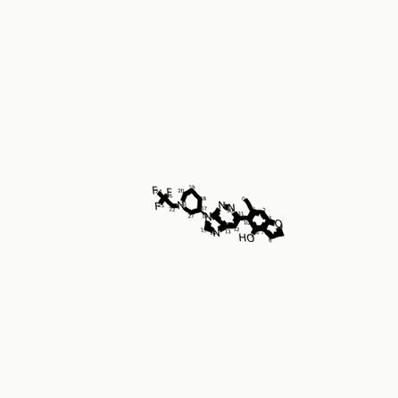 Cc1cc2occc2c(O)c1-c1cc2ncn([C@@H]3CCCN(CC(F)(F)F)C3)c2nn1